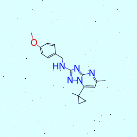 COc1ccc(CNc2nc3nc(C)cc(C4(C)CC4)n3n2)cc1